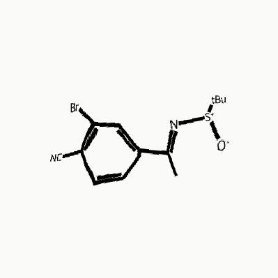 CC(=N[S+]([O-])C(C)(C)C)c1ccc(C#N)c(Br)c1